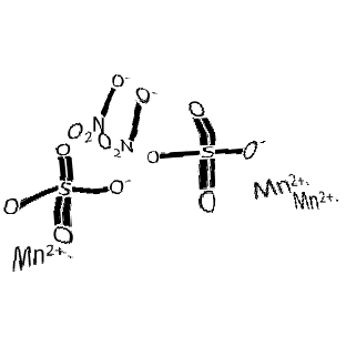 O=S(=O)([O-])[O-].O=S(=O)([O-])[O-].O=[N+]([O-])[O-].O=[N+]([O-])[O-].[Mn+2].[Mn+2].[Mn+2]